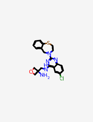 NC1(CNc2nc(N3CCSc4ccccc4C3)nc3ccc(Cl)cc23)COC1